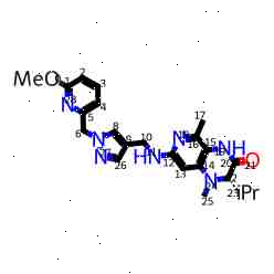 COc1cccc(Cn2cc(CNc3cc4c(c(C)n3)NC(=O)[C@H](C(C)C)N4C)cn2)n1